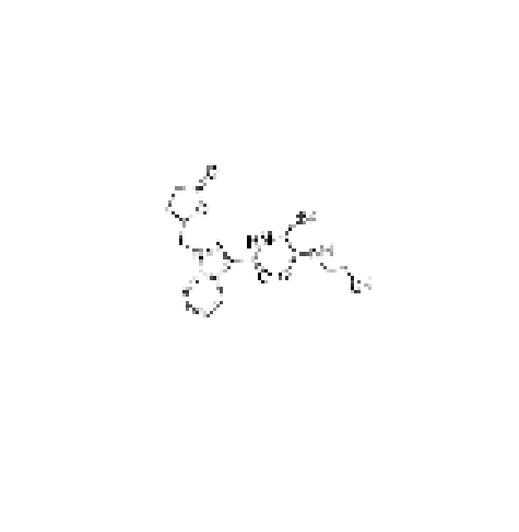 CC(C)(C)[C@H](NC(=O)c1nn(C[C@H]2CCC(=O)O2)c2ccccc12)C(=O)NCCO